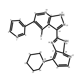 Fc1c(-c2cccnc2)cnc2[nH]nc(-c3nc4c(N5CCCCC5)ccnc4[nH]3)c12